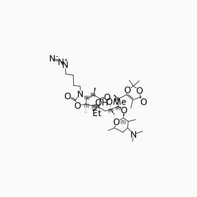 CC[C@@H](O)[C@@]1(C)OC(=O)N(CCCCN=[N+]=[N-])[C@@H]1[C@@H](C)C(=O)[C@H](C)C[C@@](C)(OC)[C@H](O[C@@H]1OC(C)CC(N(C)C)C1C)[C@@H](C)C1=C(C)C(=O)OC(C)(C)O1